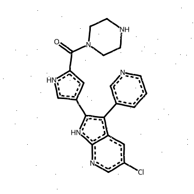 O=C(c1cc(-c2[nH]c3ncc(Cl)cc3c2-c2cccnc2)c[nH]1)N1CCNCC1